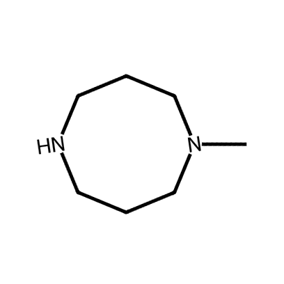 CN1CCCNCCC1